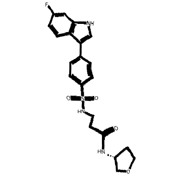 O=C(CCNS(=O)(=O)c1ccc(-c2c[nH]c3cc(F)ccc23)cc1)N[C@@H]1CCOC1